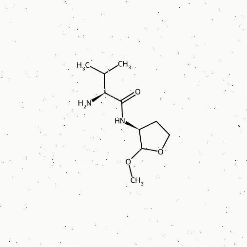 COC1OCC[C@@H]1NC(=O)[C@@H](N)C(C)C